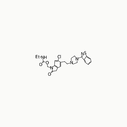 CCNC(=O)OCN1C(=O)Cc2cc(CCN3CCN(c4nsc5ccccc45)CC3)c(Cl)cc21